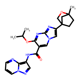 CC(C)Oc1nc2nc(C34CCC(C)(C3)OC4)cn2cc1C(=O)Nc1cnn2cccnc12